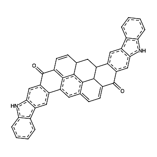 O=C1C2=c3c(cc4c5c3C(C=C2)CC2c3cc6c(cc3C(=O)C(=CC=4)C52)[nH]c2ccccc26)-c2cc3c(cc21)[nH]c1ccccc13